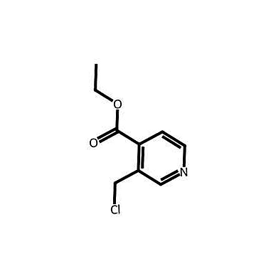 CCOC(=O)c1ccncc1CCl